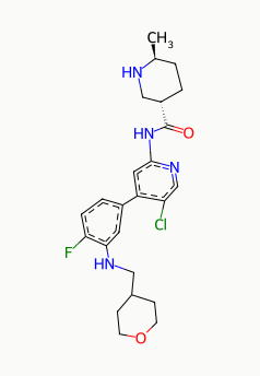 C[C@H]1CC[C@H](C(=O)Nc2cc(-c3ccc(F)c(NCC4CCOCC4)c3)c(Cl)cn2)CN1